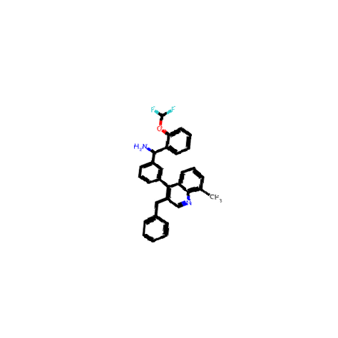 NC(c1cccc(-c2c(Cc3ccccc3)cnc3c(C(F)(F)F)cccc23)c1)c1ccccc1OC(F)F